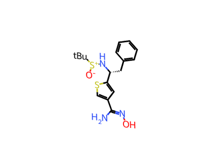 CC(C)(C)[S+]([O-])N[C@H](Cc1ccccc1)c1cc(C(N)=NO)cs1